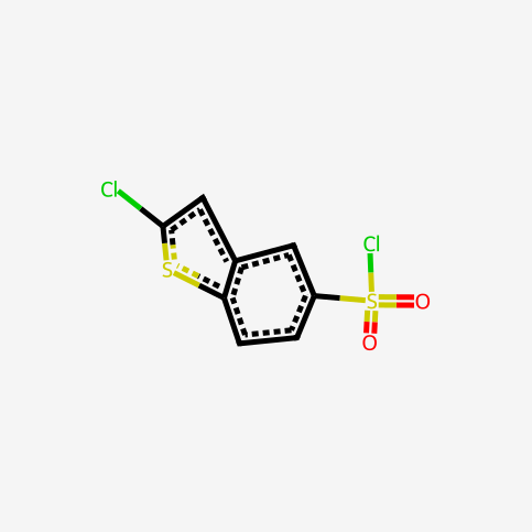 O=S(=O)(Cl)c1ccc2sc(Cl)cc2c1